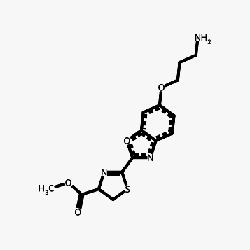 COC(=O)C1CSC(c2nc3ccc(OCCCN)cc3o2)=N1